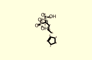 C1=CCCC1.CCCC([PH](=O)O)P(=O)(O)O